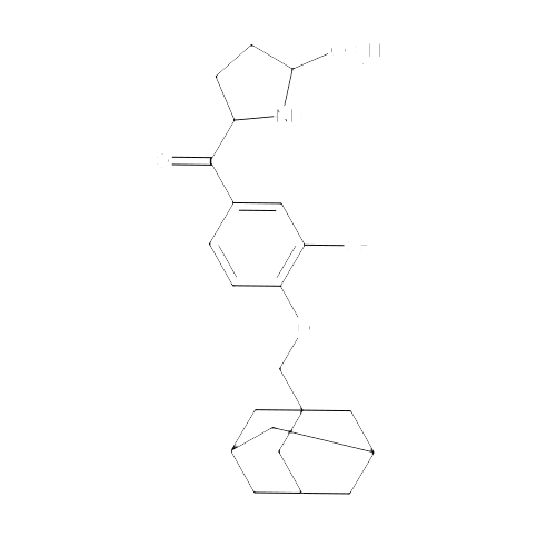 O=C(O)C1CCC(C(=O)c2ccc(OCC34CC5CC(CC(C5)C3)C4)c(C(F)(F)F)c2)N1